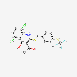 CC(=O)c1c(SCc2ccc(SC(F)(F)F)cc2)[nH]c2c(Cl)ccc(Cl)c2c1=O